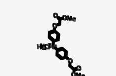 COC(=O)COc1ccc([Te+]c2ccc(OCC(=O)OC)cc2)cc1.Cl.Cl